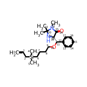 C=CC[Si](C)(C)CCCCOC(c1ccccc1)[C@@H]1NC(C)(C)N(C)C1=O